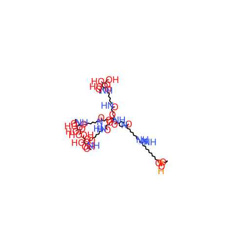 C=CO[PH](=O)OCCCCCCCCCC/C(=C/NCCCCCCCC(=O)N1CCC(C(=O)NC(COCCC(=O)NCCCCCCOC2OC(CO)C(O)C(O)C2NC(C)=O)(COCCC(=O)NCCCCCCOC2OC(CO)C(O)C(O)C2NC(C)=O)COCCC(=O)NCCCCCCOC2OC(CO)C(O)C(O)C2NC(C)=O)CC1)N=N